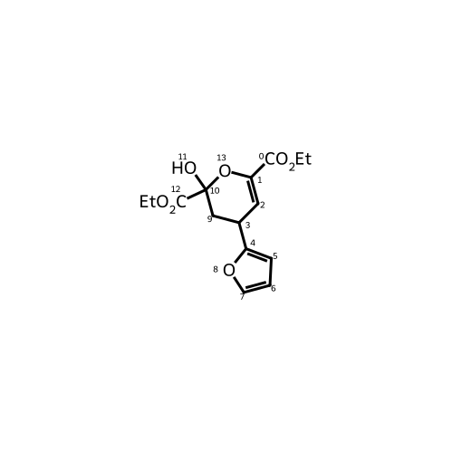 CCOC(=O)C1=CC(c2ccco2)CC(O)(C(=O)OCC)O1